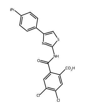 CC(C)c1ccc(-c2csc(NC(=O)c3cc(Cl)c(Cl)cc3C(=O)O)n2)cc1